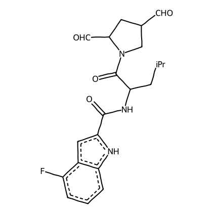 CC(C)CC(NC(=O)c1cc2c(F)cccc2[nH]1)C(=O)N1CC(C=O)CC1C=O